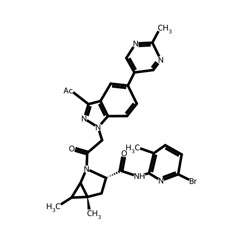 CC(=O)c1nn(CC(=O)N2C3C(C)[C@@]3(C)C[C@H]2C(=O)Nc2nc(Br)ccc2C)c2ccc(-c3cnc(C)nc3)cc12